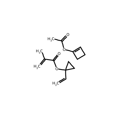 C=CC1(OC(=O)C(=C)C)CC1.CC(=O)OC1=CCC1